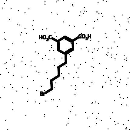 O=C(O)c1cc(CCCCCBr)cc(C(=O)O)c1